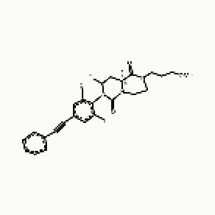 COCCCN1CCN2C(=O)N(c3c(F)cc(C#Cc4ccccc4)cc3F)C(O)C[C@@]2(C)C1=O